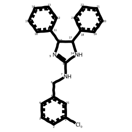 Clc1cccc(CNC2=NC(c3ccccc3)C(c3ccccc3)N2)c1